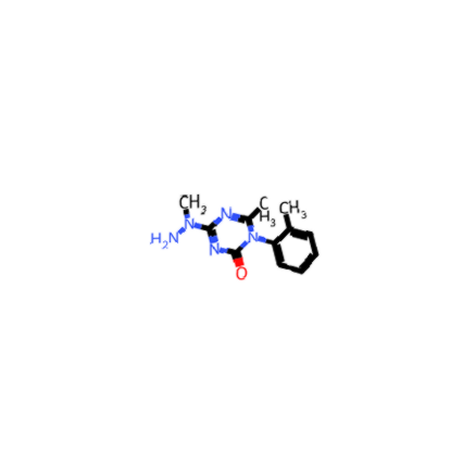 Cc1ccccc1-n1c(C)nc(N(C)N)nc1=O